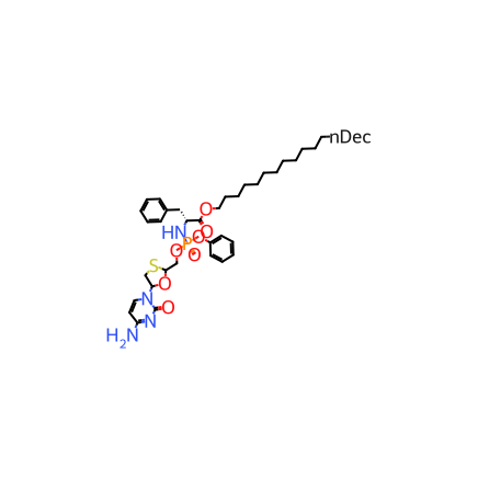 CCCCCCCCCCCCCCCCCCCCCCOC(=O)[C@@H](Cc1ccccc1)NP(=O)(OCC1OC(n2ccc(N)nc2=O)CS1)Oc1ccccc1